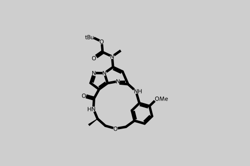 COc1ccc2cc1Nc1cc(N(C)C(=O)OC(C)(C)C)n3ncc(c3n1)C(=O)N[C@H](C)COC2